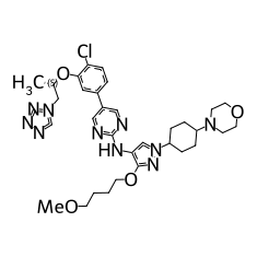 COCCCCOc1nn(C2CCC(N3CCOCC3)CC2)cc1Nc1ncc(-c2ccc(Cl)c(O[C@@H](C)Cn3cnnn3)c2)cn1